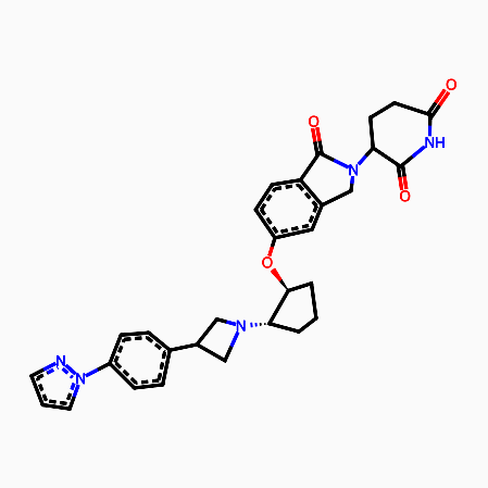 O=C1CCC(N2Cc3cc(O[C@H]4CCC[C@@H]4N4CC(c5ccc(-n6cccn6)cc5)C4)ccc3C2=O)C(=O)N1